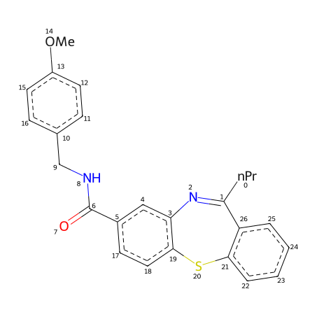 CCCC1=Nc2cc(C(=O)NCc3ccc(OC)cc3)ccc2Sc2ccccc21